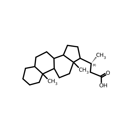 C[C@H](CC(=O)O)C1CCC2C3CCC4CCCCC4(C)C3CCC21C